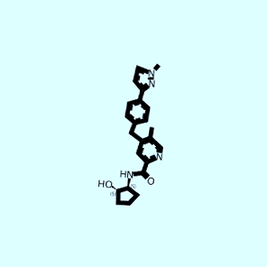 Cc1cnc(C(=O)N[C@H]2CCC[C@@H]2O)cc1Cc1ccc(-c2ccn(C)n2)cc1